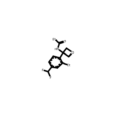 CCC(=O)NC1(c2ccc(C(F)F)cc2CC)COC1